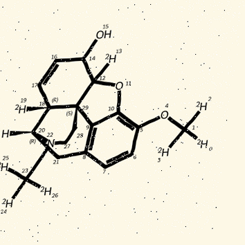 [2H]C([2H])([2H])Oc1ccc2c3c1OC1([2H])C(O)C=C[C@@]4([2H])[C@@H](C2)N(C([2H])([2H])[2H])CC[C@]314